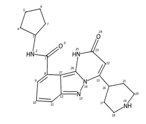 O=C(NC1CCCC1)c1cccc2nn3c(C4CCNCC4)cc(=O)[nH]c3c12